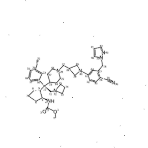 COC(=O)N[C@H]1CCC[C@@H]1[C@](CN1CCC1)(c1cccc(F)c1)C1CCN(CC2CN(c3ccc(C#N)c(Cn4cccn4)c3)C2)CC1